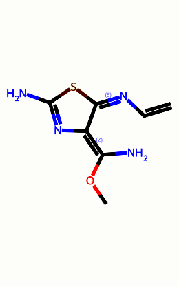 C=C/N=C1/SC(N)=N/C1=C(/N)OC